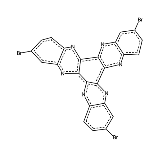 Brc1ccc2nc3c4nc5cc(Br)ccc5nc4c4nc5cc(Br)ccc5nc4c3nc2c1